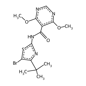 COc1ncnc(OC)c1C(=O)Nc1nc(C(C)(C)C)c(Br)s1